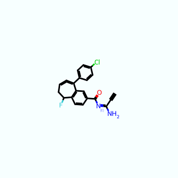 C#C/C(N)=N\C(=O)c1ccc2c(c1)C(c1ccc(Cl)cc1)=C=CCC2F